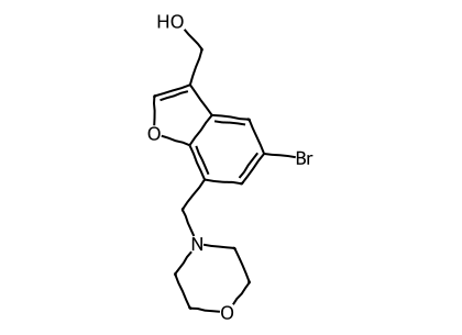 OCc1coc2c(CN3CCOCC3)cc(Br)cc12